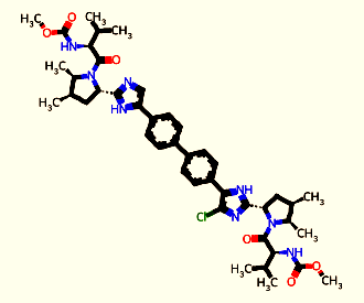 COC(=O)N[C@H](C(=O)N1[C@H](C)[C@H](C)C[C@H]1c1ncc(-c2ccc(-c3ccc(-c4[nH]c([C@@H]5C[C@@H](C)[C@@H](C)N5C(=O)[C@@H](NC(=O)OC)C(C)C)nc4Cl)cc3)cc2)[nH]1)C(C)C